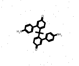 CC(C)(C1=CCC(=O)C=C1c1ccc(N)cc1)C1=CCC(=O)C=C1c1ccc(N)cc1